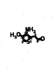 Cc1csc(CC=O)c1N